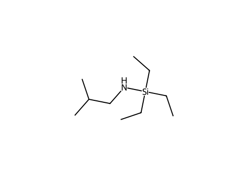 CC[Si](CC)(CC)NCC(C)C